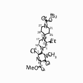 CC[C@H]1CN(c2c(Cl)nc(C(=O)OC)c(=O)n2C)CCN1C1CCN(C(=O)OC(C)(C)C)CC1